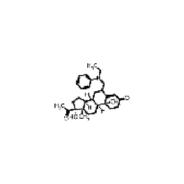 CCN(CC1C[C@@H]2[C@H](CC[C@@]3(C)[C@H]2CC[C@]3(O)C(C)=O)[C@@]2(C)CCC(=O)C=C12)c1ccccc1